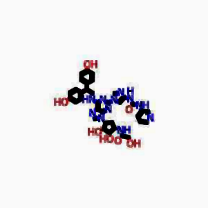 O=C(CO)N[C@H]1C[C@@H](n2cnc3c(NCC(c4ccc(O)cc4)c4ccc(O)cc4)nc(-n4cnc(NC(=O)Nc5cccnc5)c4)nc32)[C@H](O)[C@@H]1O